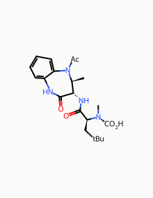 CC(=O)N1c2ccccc2NC(=O)[C@@H](NC(=O)[C@H](CC(C)(C)C)N(C)C(=O)O)[C@@H]1C